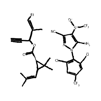 C#CC(OC(=O)[C@@H]1C(C=C(C)C)C1(C)C)/C(C)=C/CC.N#Cc1nn(-c2c(Cl)cc(C(F)(F)F)cc2Cl)c(N)c1[S+]([O-])C(F)(F)F